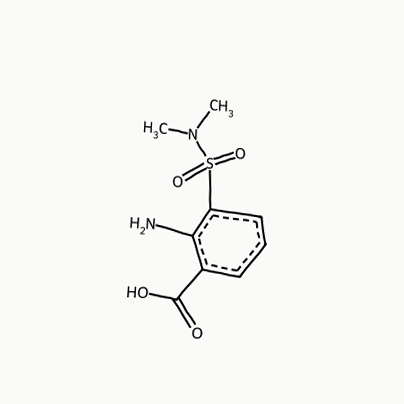 CN(C)S(=O)(=O)c1cccc(C(=O)O)c1N